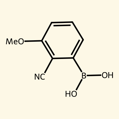 COc1cccc(B(O)O)c1C#N